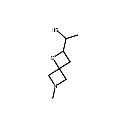 CC(S)C1CC2(CN(C)C2)O1